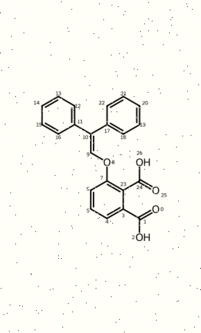 O=C(O)c1cccc(OC=C(c2ccccc2)c2ccccc2)c1C(=O)O